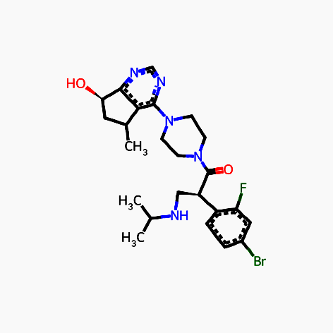 CC(C)NC[C@@H](C(=O)N1CCN(c2ncnc3c2C(C)C[C@H]3O)CC1)c1ccc(Br)cc1F